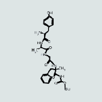 C[C@@H](NC(=O)[C@@H](N)Cc1ccc(O)cc1)C(=O)NCC(=O)N[C@@](C)(Cc1ccccc1)C(=O)NC(=O)OC(C)(C)C